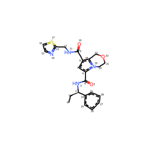 CC[C@@H](NC(=O)c1cc(C(=O)NCc2nccs2)c2n1CCOC2)c1ccccc1